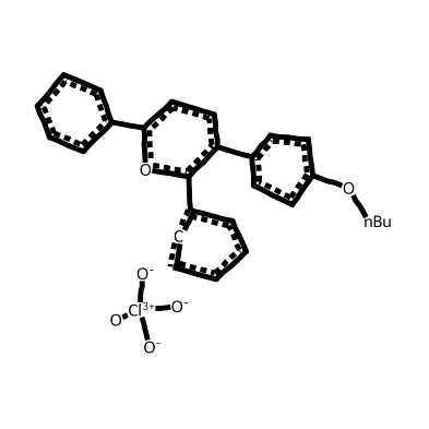 CCCCOc1ccc(-c2ccc(-c3ccccc3)[o+]c2-c2ccccc2)cc1.[O-][Cl+3]([O-])([O-])[O-]